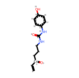 C=[CH][Co](=[O])[CH2]CCNC(=O)Nc1ccc(O)cc1